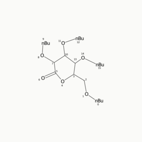 CCCCOCC1OC(=O)C(OCCCC)C(OCCCC)C1OCCCC